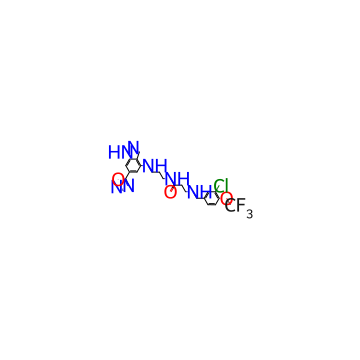 O=C(CCNCc1ccc(OC(F)(F)F)c(Cl)c1)NCCCNc1cc(-c2ncno2)cc2[nH]ncc12